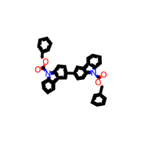 O=C(OCc1ccccc1)n1c2ccccc2c2cc(-c3ccc4c(c3)c3ccccc3n4C(=O)OCc3ccccc3)ccc21